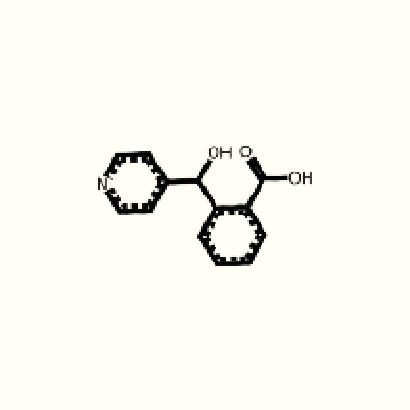 O=C(O)c1ccccc1C(O)c1ccncc1